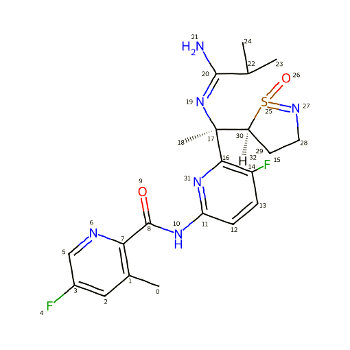 Cc1cc(F)cnc1C(=O)Nc1ccc(F)c([C@@]2(C)N=C(N)C(C)(C)[S@@]3(=O)=NCC[C@@H]23)n1